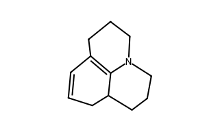 C1=CC2=C3C(C1)CCCN3CCC2